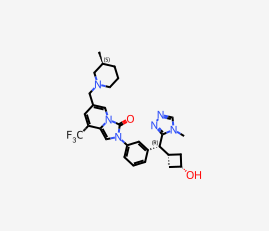 C[C@H]1CCCN(Cc2cc(C(F)(F)F)c3cn(-c4cccc([C@H](c5nncn5C)[C@H]5C[C@@H](O)C5)c4)c(=O)n3c2)C1